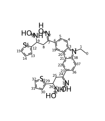 CCn1c2ccc(/C(CC(NO)c3cccs3)=N/O)cc2c2cc(/C(CC(NO)c3cccs3)=N/O)ccc21